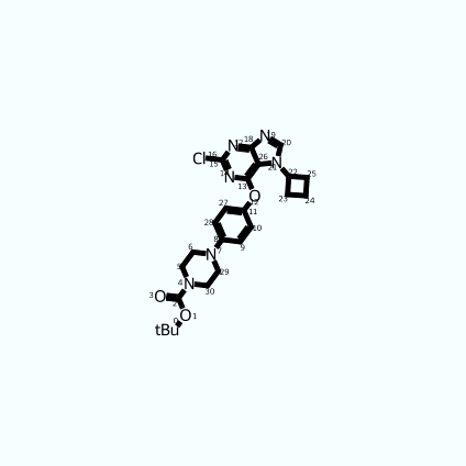 CC(C)(C)OC(=O)N1CCN(c2ccc(Oc3nc(Cl)nc4ncn(C5CCC5)c34)cc2)CC1